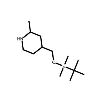 CC1CC(CO[Si](C)(C)C(C)(C)C)CCN1